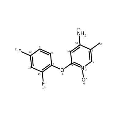 Cc1c[n+]([O-])c(Oc2ccc(F)cc2F)cc1N